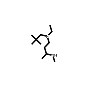 CCN(CCC(C)NC)CC(C)(C)C